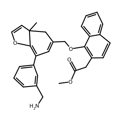 COC(=O)Cc1ccc2ccccc2c1OCC1=CC(c2cccc(CN)c2)=C2OC=CC2(C)C1